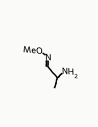 CO/N=C/C(C)N